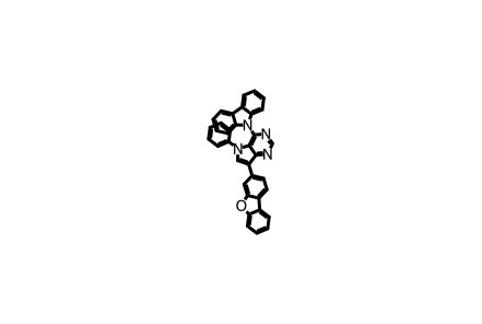 c1ccc(-n2cc(-c3ccc4c(c3)oc3ccccc34)c3ncnc(-n4c5ccccc5c5ccccc54)c32)cc1